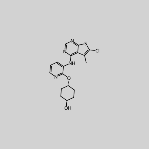 Cc1c(Cl)sc2ncnc(Nc3cccnc3O[C@H]3CC[C@H](O)CC3)c12